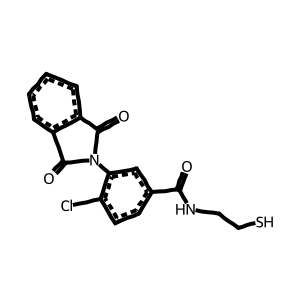 O=C(NCCS)c1ccc(Cl)c(N2C(=O)c3ccccc3C2=O)c1